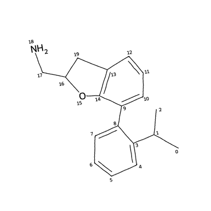 CC(C)c1ccccc1-c1cccc2c1OC(CN)C2